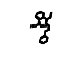 C=C/C(=C\C=C/Cc1ccccc1)c1ccccc1B(O)O